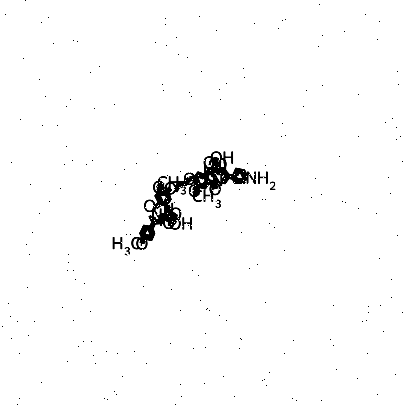 COc1ccc(C2=CN3C(=O)c4cc(OC)c(OCCCOc5cc6c(cc5OC)C(=O)N5C=C(c7ccc(N)cc7)C[C@H]5C(S(=O)(=O)O)=N6)cc4N=C(S(=O)(=O)O)[C@@H]3C2)cc1